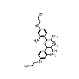 CC(O)C(OC(c1ccc(NCCO)cc1N)C(C)O)c1ccc(NCCO)cc1N